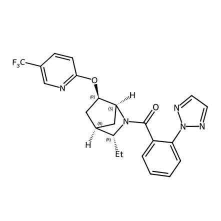 CC[C@@H]1[C@H]2C[C@@H](Oc3ccc(C(F)(F)F)cn3)[C@H](C2)N1C(=O)c1ccccc1-n1nccn1